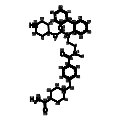 CN(CCN(C(=O)OC1CCNCC1)c1ccccc1-c1ccccc1)C(=O)c1ccc(CN2CCC(C(N)=O)CC2)cc1